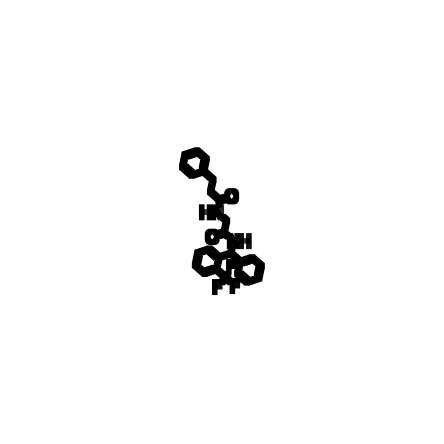 O=C(CCc1ccccc1)NCC(=O)NC(c1ccccc1)c1ccccc1C(F)(F)F